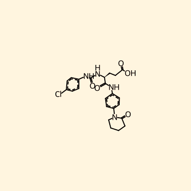 O=C(O)CC[C@H](NC(=O)Nc1ccc(Cl)cc1)C(=O)Nc1ccc(N2CCCCC2=O)cc1